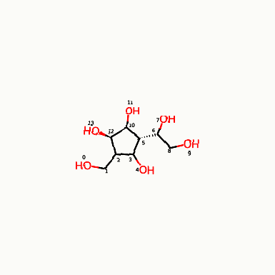 OCC1C(O)[C@@H](C(O)CO)C(O)[C@@H]1O